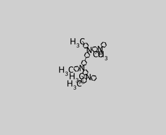 Cc1ccc(N(C2=CC3(C)c4ccccc4N(c4ccccc4)C3C=C2)c2ccc(-c3ccc(N(c4ccc(C)cc4)c4ccc5c(c4)C4(C)C[C@@H](C)C=CC4N5c4ccccc4)cc3)cc2)cc1